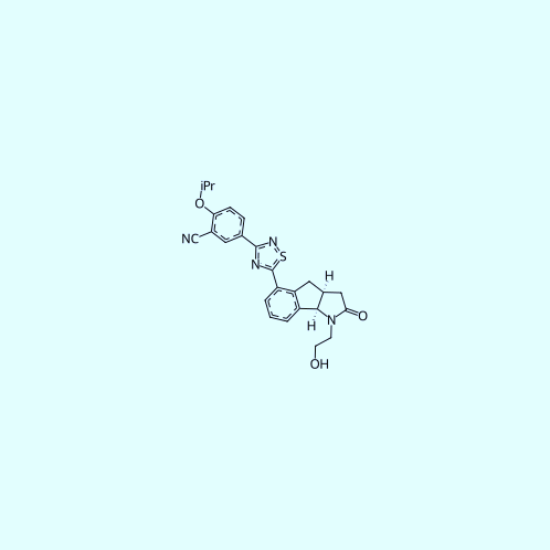 CC(C)Oc1ccc(-c2nsc(-c3cccc4c3C[C@H]3CC(=O)N(CCO)[C@@H]43)n2)cc1C#N